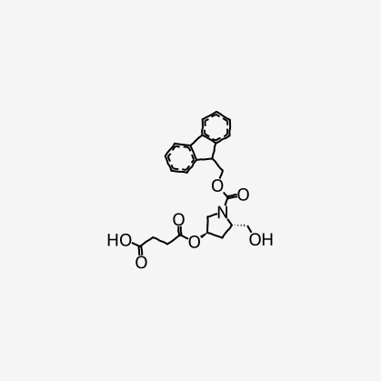 O=C(O)CCC(=O)O[C@@H]1C[C@@H](CO)N(C(=O)OCC2c3ccccc3-c3ccccc32)C1